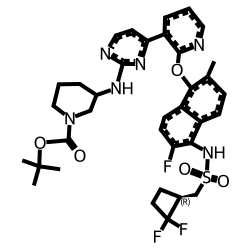 Cc1ccc2c(NS(=O)(=O)C[C@@H]3CCC3(F)F)c(F)ccc2c1Oc1ncccc1-c1ccnc(NC2CCCN(C(=O)OC(C)(C)C)C2)n1